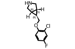 Fc1ccc(OC[C@H]2[C@@H]3CNC[C@@H]32)c(Cl)c1